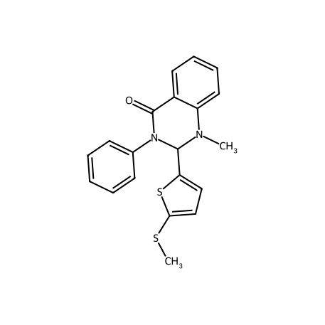 CSc1ccc(C2N(C)c3ccccc3C(=O)N2c2ccccc2)s1